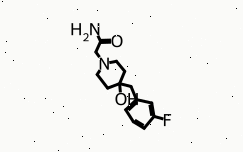 NC(=O)CN1CCC(O)(Cc2cccc(F)c2)CC1